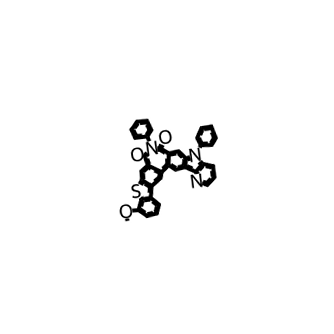 COc1cccc2c1sc1cc3c(=O)n(-c4ccccc4)c(=O)c4cc5c(cc4c3cc12)c1ncccc1n5-c1ccccc1